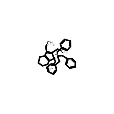 CCC1=C(CC)[C](CC)([Ti]([CH2]c2ccccc2)([CH2]c2ccccc2)[CH2]c2ccccc2)C2=C1CCCC2